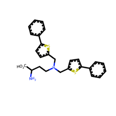 NC(CCN(Cc1ccc(-c2ccccc2)s1)Cc1ccc(-c2ccccc2)s1)C(=O)O